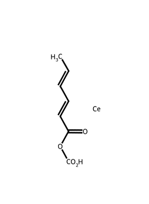 C/C=C/C=C/C(=O)OC(=O)O.[Ce]